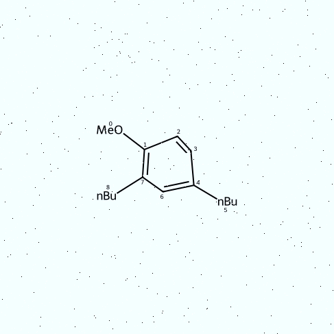 [CH2]Oc1ccc(CCCC)cc1CCCC